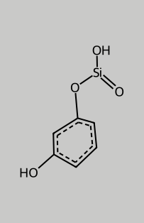 O=[Si](O)Oc1cccc(O)c1